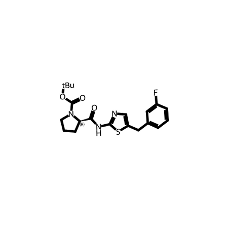 CC(C)(C)OC(=O)N1CCC[C@@H]1C(=O)Nc1ncc(Cc2cccc(F)c2)s1